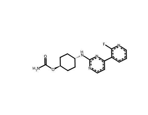 NC(=O)O[C@H]1CC[C@H](Nc2nccc(-c3cccnc3F)n2)CC1